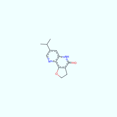 CC(C)c1cnc2c3c(c(=O)[nH]c2c1)CCO3